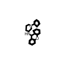 c1ccc(N2CCCC(NC3c4ccccc4Oc4ccccc43)C2)cc1